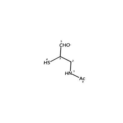 CC(=O)NCC(S)[C]=O